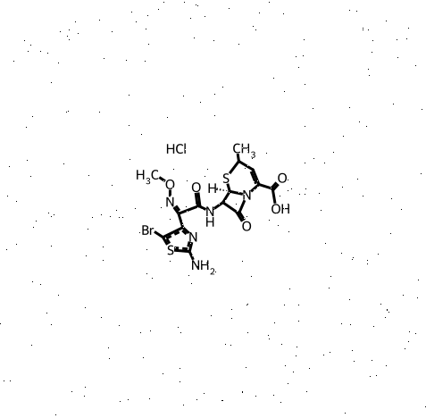 CO/N=C(\C(=O)NC1C(=O)N2C(C(=O)O)=CC(C)S[C@H]12)c1nc(N)sc1Br.Cl